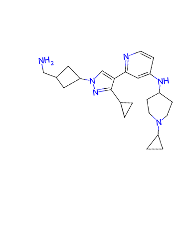 NCC1CC(n2cc(-c3cc(NC4CCN(C5CC5)CC4)ccn3)c(C3CC3)n2)C1